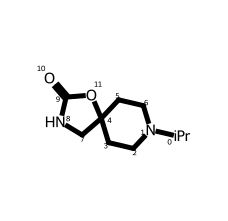 CC(C)N1CCC2(CC1)CNC(=O)O2